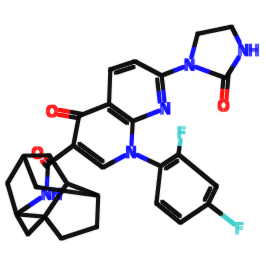 O=C(NC12CC3CC4CCC1(C2)C4C3)c1cn(-c2ccc(F)cc2F)c2nc(N3CCNC3=O)ccc2c1=O